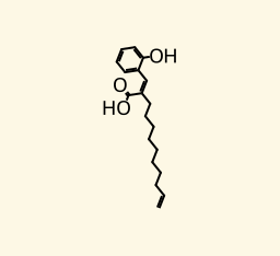 C=CCCCCCCCCC(=Cc1ccccc1O)C(=O)O